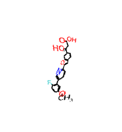 COc1ccc(F)c(-c2ccc(-c3cc4ccc([C@H](O)CC(=O)O)cc4o3)nc2)c1